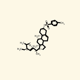 CC[C@H](C=C[C@@H](C)[C@H]1CCC2C3CC=C4C[C@@H](OS(=O)(=O)c5ccc(C)cc5)CC[C@]4(C)C3CC[C@@]21C)C(C)C